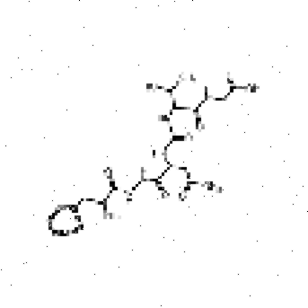 CC(O)[C@H](NC(=O)N[C@@H](CC(N)=O)C(=O)NNC(=O)[C@@H](N)Cc1ccccc1)C(=O)NCC(=O)O